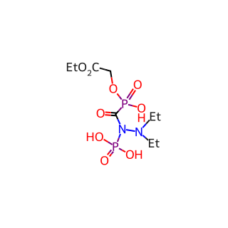 CCOC(=O)COP(=O)(O)C(=O)N(N(CC)CC)P(=O)(O)O